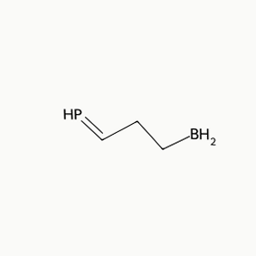 BCCC=P